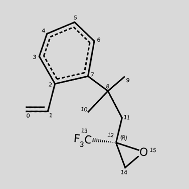 C=Cc1ccccc1C(C)(C)C[C@]1(C(F)(F)F)CO1